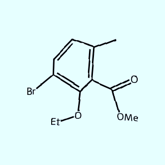 CCOc1c(Br)ccc(C)c1C(=O)OC